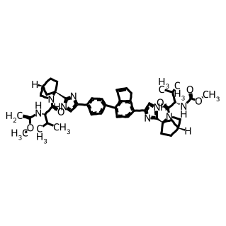 C=C(N[C@H](C(=O)N1C[C@@H]2CC[C@@]1(c1nc(-c3ccc(-c4ccc(-c5c[nH]c([C@@]67CC[C@@H](CN6C(=O)[C@@H](NC(=O)OC)C(C)C)C7)n5)c5c4C=CC5)cc3)c[nH]1)C2)C(C)C)OC